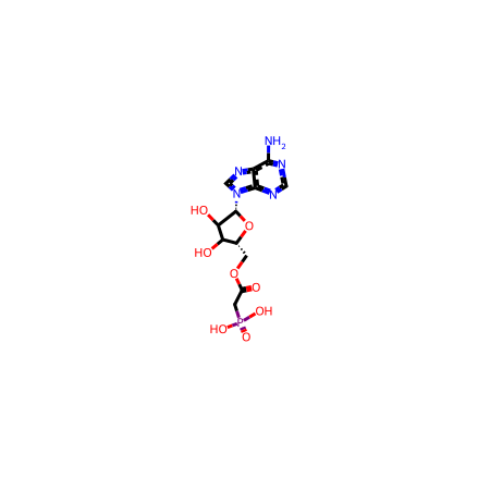 Nc1ncnc2c1ncn2[C@@H]1O[C@H](COC(=O)CP(=O)(O)O)C(O)C1O